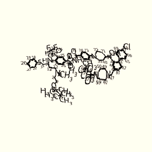 CN(CCO[Si](C)(C)C(C)(C)C)CCC(CSc1ccccc1)Nc1ccc(S(=O)(=O)NC(=O)c2ccc(N3CCC([C@@H](O)c4cc(CN5CCN(C(=O)OC(C)(C)C)CC5)ccc4-c4ccc(Cl)cc4)CC3)cc2)cc1S(=O)(=O)C(F)(F)F